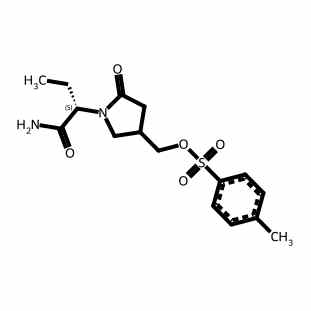 CC[C@@H](C(N)=O)N1CC(COS(=O)(=O)c2ccc(C)cc2)CC1=O